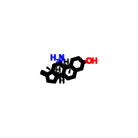 C=C1CC[C@H]2[C@@H]3CCC4CC(O)CC[C@]4(C)[C@@H]3C(N)C[C@]12C